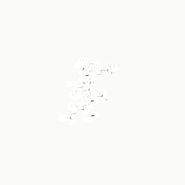 CC[C@H](C)[C@H](NC(=O)[C@H](CCC(=O)O)NC(=O)[C@H](CCC(=O)O)NC(=O)[C@@H](N)CCC(=O)O)C(=O)N[C@@H](CCCNC(=N)N)C(=O)N[C@H](C(=O)O)C(C)C